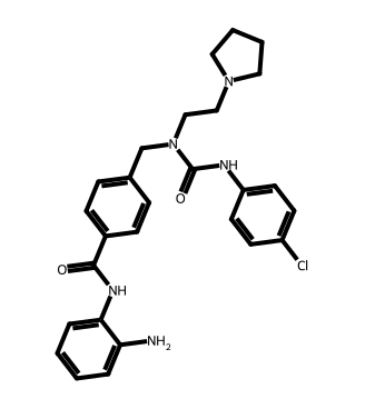 Nc1ccccc1NC(=O)c1ccc(CN(CCN2CCCC2)C(=O)Nc2ccc(Cl)cc2)cc1